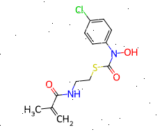 C=C(C)C(=O)NCCSC(=O)N(O)c1ccc(Cl)cc1